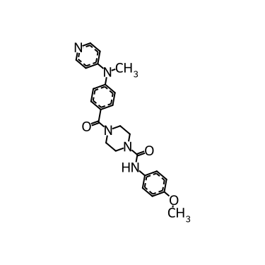 COc1ccc(NC(=O)N2CCN(C(=O)c3ccc(N(C)c4ccncc4)cc3)CC2)cc1